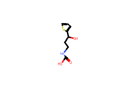 O=C(O)NCCC(O)c1cccs1